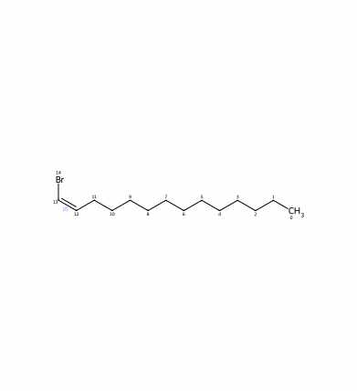 CCCCCCCCCCCC/C=C\Br